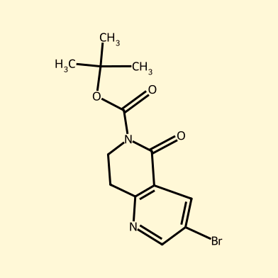 CC(C)(C)OC(=O)N1CCc2ncc(Br)cc2C1=O